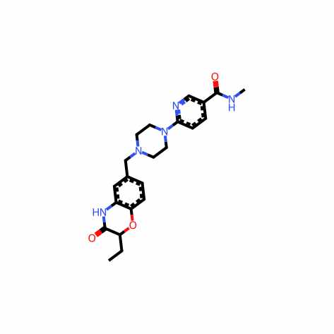 CCC1Oc2ccc(CN3CCN(c4ccc(C(=O)NC)cn4)CC3)cc2NC1=O